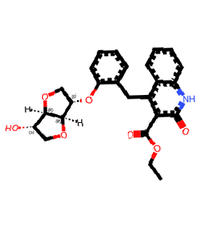 CCOC(=O)c1c(Cc2ccccc2O[C@H]2CO[C@H]3[C@@H]2OC[C@@H]3O)c2ccccc2[nH]c1=O